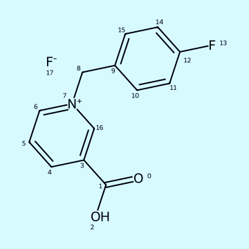 O=C(O)c1ccc[n+](Cc2ccc(F)cc2)c1.[F-]